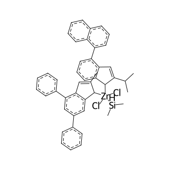 CC1=Cc2c(-c3ccccc3)cc(-c3ccccc3)cc2[CH]1[Zr]([Cl])([Cl])([CH]1C(C(C)C)=Cc2c(-c3cccc4ccccc34)cccc21)[SiH](C)C